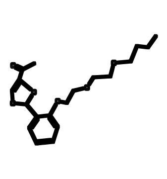 CCCCOCCOCCOc1ccccc1C1OC=C(C(C)=O)O1